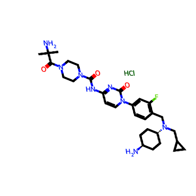 CC(C)(N)C(=O)N1CCN(C(=O)Nc2ccn(-c3ccc(CN(CC4CC4)[C@H]4CC[C@H](N)CC4)c(F)c3)c(=O)n2)CC1.Cl